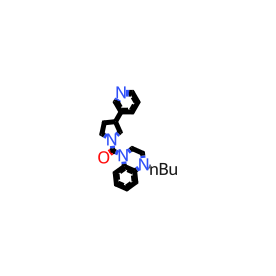 CCCCN1CCN(C(=O)N2CCC(c3cccnc3)C2)c2ccccc21